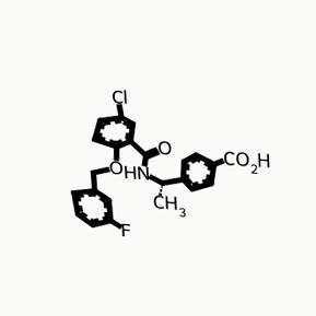 C[C@H](NC(=O)c1cc(Cl)ccc1OCc1cccc(F)c1)c1ccc(C(=O)O)cc1